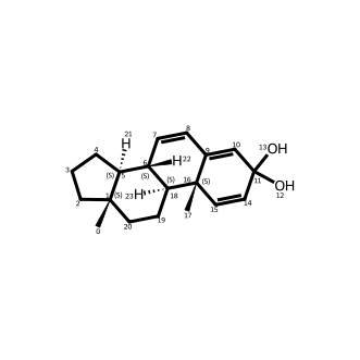 C[C@@]12CCC[C@H]1[C@@H]1C=CC3=CC(O)(O)C=C[C@]3(C)[C@H]1CC2